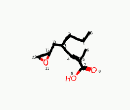 [CH2]CCC(C=C(C)C(=O)O)CC1CO1